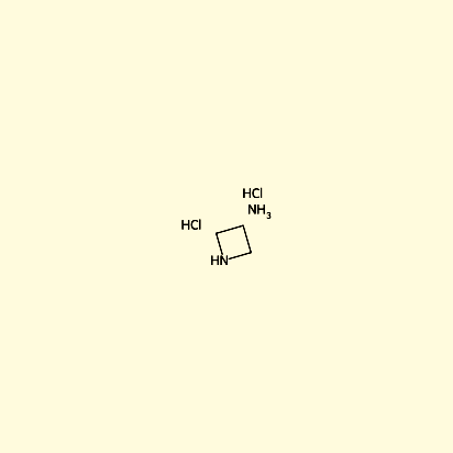 C1CNC1.Cl.Cl.N